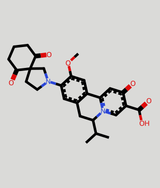 COc1cc2c(cc1N1CCC3(C1)C(=O)CCCC3=O)CC(C(C)C)n1cc(C(=O)O)c(=O)cc1-2